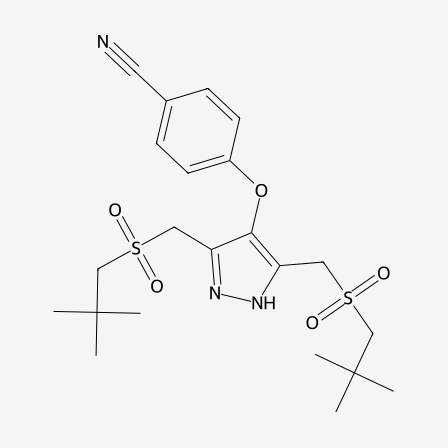 CC(C)(C)CS(=O)(=O)Cc1n[nH]c(CS(=O)(=O)CC(C)(C)C)c1Oc1ccc(C#N)cc1